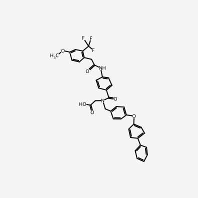 COc1ccc(CC(=O)Nc2ccc(C(=O)N(CC(=O)O)Cc3ccc(Oc4ccc(-c5ccccc5)cc4)cc3)cc2)c(C(F)(F)F)c1